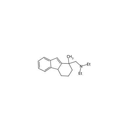 CCN(CC)CC1(C)CCCC2C1=Cc1ccccc12